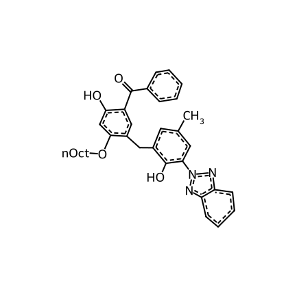 CCCCCCCCOc1cc(O)c(C(=O)c2ccccc2)cc1Cc1cc(C)cc(-n2nc3ccccc3n2)c1O